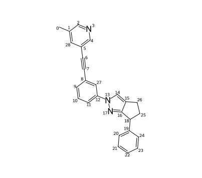 Cc1cncc(C#Cc2cccc(-n3cc4c(n3)C(c3ccccc3)CC4)c2)c1